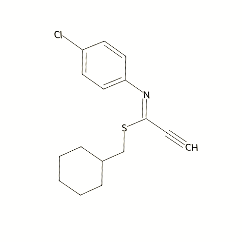 C#CC(=Nc1ccc(Cl)cc1)SCC1CCCCC1